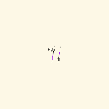 [I][Tl].[InH2][I]